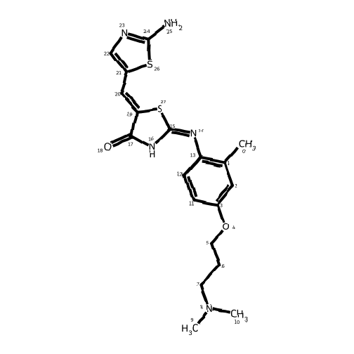 Cc1cc(OCCCN(C)C)ccc1N=C1NC(=O)C(=Cc2cnc(N)s2)S1